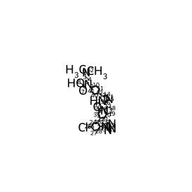 CN(C)CCN(C(=O)O)c1ccc(-c2cnc([C@@H]3CCc4cc(-c5cc(Cl)ccc5-n5cnnn5)cc(=O)n43)[nH]2)cc1